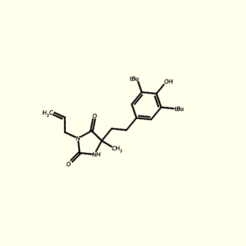 C=CCN1C(=O)NC(C)(CCc2cc(C(C)(C)C)c(O)c(C(C)(C)C)c2)C1=O